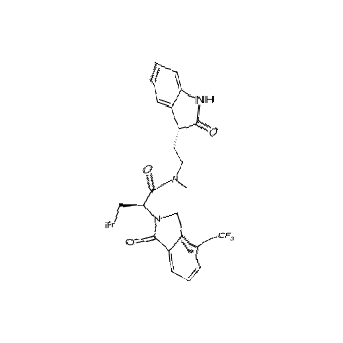 CC(C)C[C@@H](C(=O)N(C)CC[C@H]1C(=O)Nc2ccccc21)N1Cc2c(cccc2C(F)(F)F)C1=O